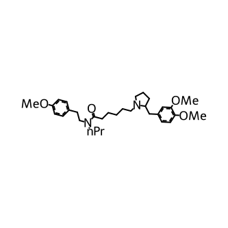 CCCN(CCc1ccc(OC)cc1)C(=O)CCCCCN1CCCC1Cc1ccc(OC)c(OC)c1